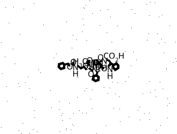 CS(=O)(=O)N[C@@H](CCCCNC(=O)OCc1ccccc1)C(=O)N[C@@H](CP(=O)(O)CC1(C(=O)N[C@@H](Cc2c[nH]c3ccccc23)C(=O)O)CCCC1)c1ccccc1